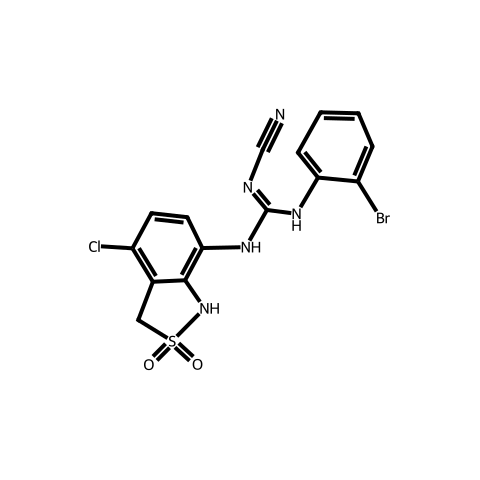 N#CN=C(Nc1ccccc1Br)Nc1ccc(Cl)c2c1NS(=O)(=O)C2